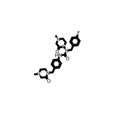 CN1CCN(Cc2ccc(NC(=O)N(Cc3ccc(F)cc3)N3CCN(C)CC3=O)cc2)C(=O)C1